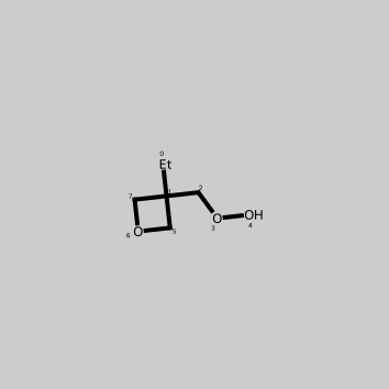 CCC1(COO)COC1